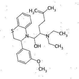 C=C(C)CCC(C(O)N1c2ccccc2SCC1c1cccc(OC)c1)N(CC)CC